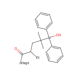 CCCCCCCC(=O)C(CC)CC(C)(C)[Si](O)(c1ccccc1)c1ccccc1